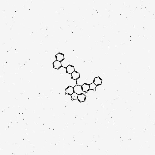 c1ccc2c(-c3ccc4ccc(N(c5cnc6oc7ccccc7c6c5)c5ccnc6oc7ccccc7c56)cc4c3)cccc2c1